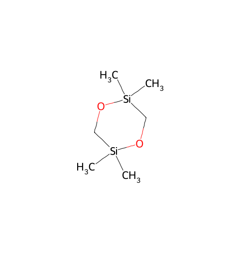 C[Si]1(C)CO[Si](C)(C)CO1